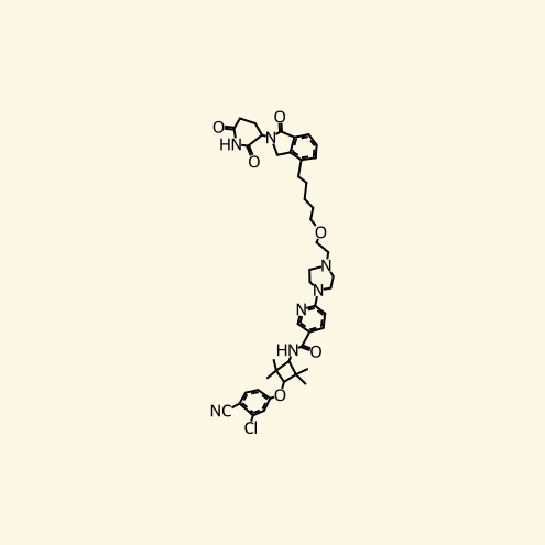 CC1(C)C(NC(=O)c2ccc(N3CCN(CCOCCCCCc4cccc5c4CN(C4CCC(=O)NC4=O)C5=O)CC3)nc2)C(C)(C)C1Oc1ccc(C#N)c(Cl)c1